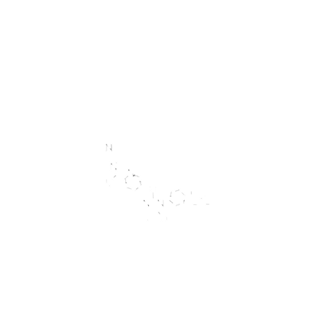 CN1CCN(C(=O)c2cc(CN3C(=O)N(c4ccc(OC(F)(F)F)cc4)C(=O)C34CC4)ccn2)CC1